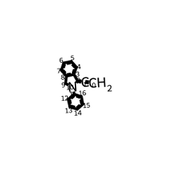 C=C=C1c2ccccc2CN1c1ccccc1